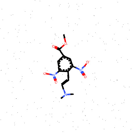 COC(=O)c1cc([N+](=O)[O-])c(C=CN(C)C)c([N+](=O)[O-])c1